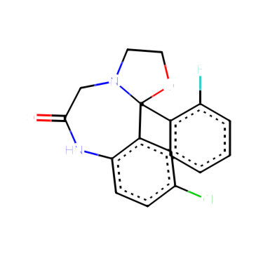 O=C1CN2CCOC2(c2ccccc2F)c2cc(Cl)ccc2N1